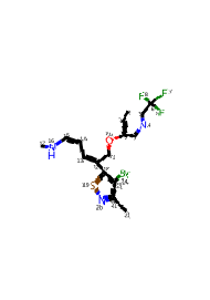 C/C=C(\C=N/CC(F)(F)F)OC/C(=C\C=C/NC)c1snc(C)c1Br